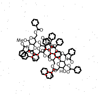 CO[C@H]1OC(COC(=O)c2ccccc2)[C@H](OC2OC(COC(=O)c3ccccc3)C(O[C@H]3OC(COC(=O)c4ccccc4)[C@H](OC4OC(COC(=O)c5ccccc5)C(O)[C@H](OC(=O)c5ccccc5)[C@@H]4N4C(=O)c5ccccc5C4=O)C(OC(=O)c4ccccc4)[C@H]3N3C(=O)c4ccccc4C3=O)[C@H](OC(=O)c3ccccc3)[C@@H]2N2C(=O)c3ccccc3C2=O)C(OC(=O)c2ccccc2)[C@H]1N1C(=O)c2ccccc2C1=O